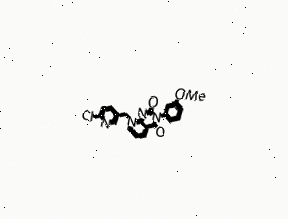 COc1cccc(-n2c(=O)nc3n(Cc4ccc(Cl)nc4)cccc-3c2=O)c1